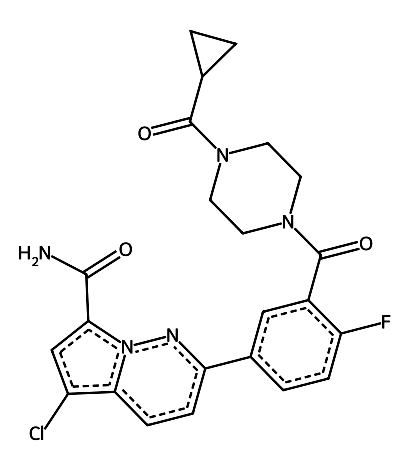 NC(=O)c1cc(Cl)c2ccc(-c3ccc(F)c(C(=O)N4CCN(C(=O)C5CC5)CC4)c3)nn12